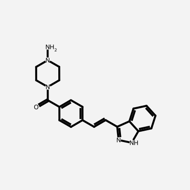 NN1CCN(C(=O)c2ccc(C=Cc3n[nH]c4ccccc34)cc2)CC1